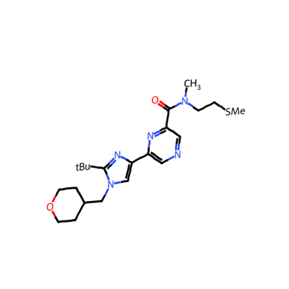 CSCCN(C)C(=O)c1cncc(-c2cn(CC3CCOCC3)c(C(C)(C)C)n2)n1